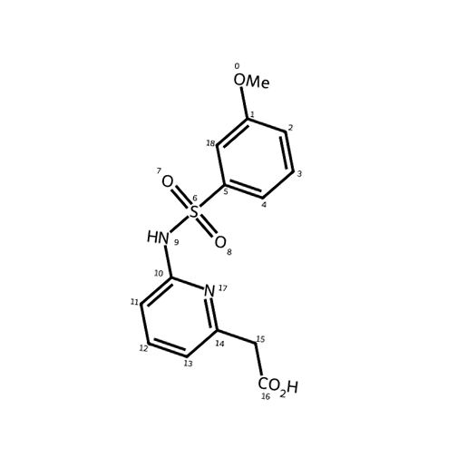 COc1cccc(S(=O)(=O)Nc2cccc(CC(=O)O)n2)c1